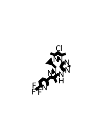 Cc1nn(-c2cc(Nc3c(C)c(-c4ccc(C(F)(F)F)nc4)nn3CC3CC3)ncn2)c(C)c1Cl